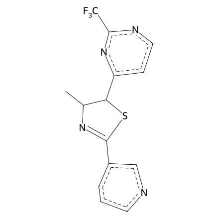 CC1N=C(c2cccnc2)SC1c1ccnc(C(F)(F)F)n1